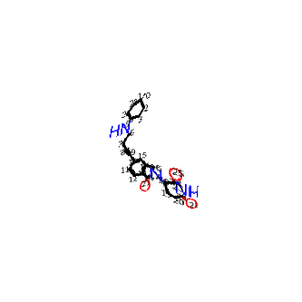 C[C@H]1CC[C@@H](NCCC#Cc2ccc3c(c2)CN(C2CCC(=O)NC2=O)C3=O)CC1